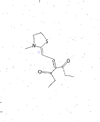 CCC(=O)C(=C/C=C1\SCCN1C)C(=O)CC